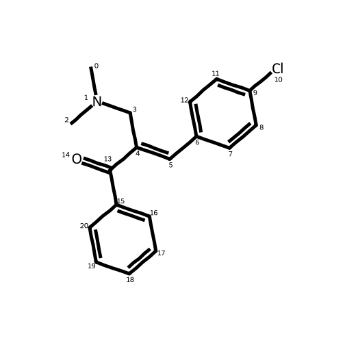 CN(C)C/C(=C\c1ccc(Cl)cc1)C(=O)c1ccccc1